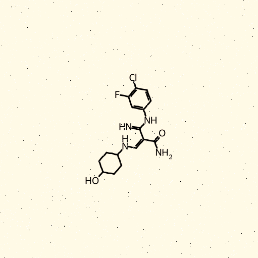 N=C(Nc1ccc(Cl)c(F)c1)/C(=C\NC1CCC(O)CC1)C(N)=O